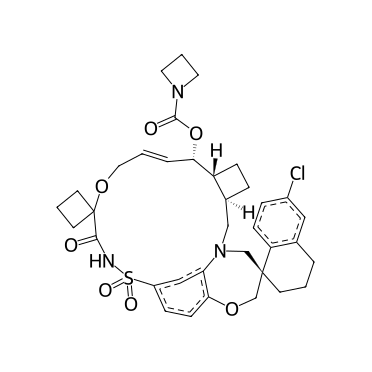 O=C(O[C@H]1/C=C/COC2(CCC2)C(=O)NS(=O)(=O)c2ccc3c(c2)N(C[C@@H]2CC[C@H]21)C[C@@]1(CCCc2cc(Cl)ccc21)CO3)N1CCC1